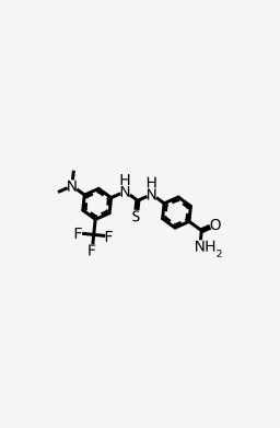 CN(C)c1cc(NC(=S)Nc2ccc(C(N)=O)cc2)cc(C(F)(F)F)c1